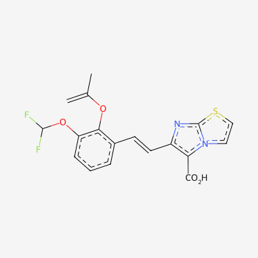 C=C(C)Oc1c(/C=C/c2nc3sccn3c2C(=O)O)cccc1OC(F)F